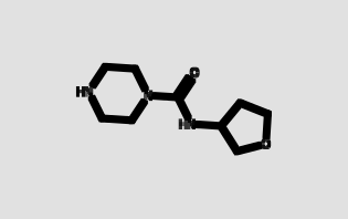 O=C(NC1CCOC1)N1CCNCC1